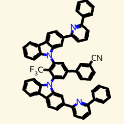 N#Cc1cccc(-c2cc(-n3c4ccccc4c4ccc(-c5cccc(-c6ccccc6)n5)cc43)c(C(F)(F)F)c(-n3c4ccccc4c4ccc(-c5cccc(-c6ccccc6)n5)cc43)c2)c1